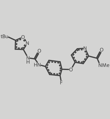 CNC(=O)c1cc(Oc2ccc(NC(=O)Nc3cc(C(C)(C)C)on3)cc2F)ccn1